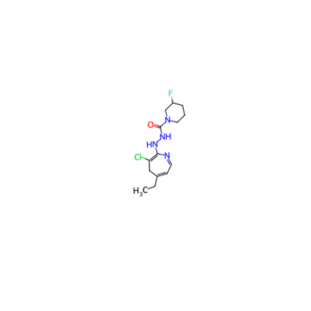 CCC1=CC=NC(NNC(=O)N2CCCC(F)C2)=C(Cl)C1